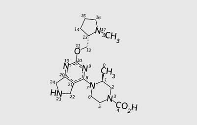 C[C@H]1CN(C(=O)O)CCN1c1nc(OC[C@@H]2CCCN2C)nc2c1CNC2